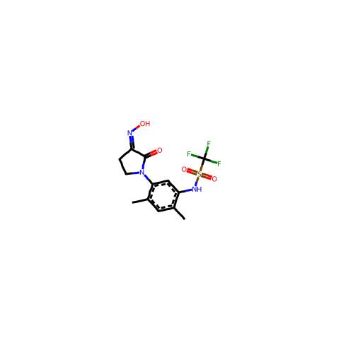 Cc1cc(C)c(N2CCC(=NO)C2=O)cc1NS(=O)(=O)C(F)(F)F